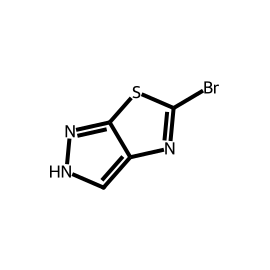 Brc1nc2c[nH]nc2s1